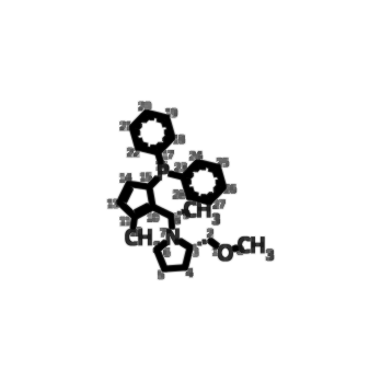 COC[C@@H]1CCCN1[C@@H](C)C1=C(C)C=CC1P(c1ccccc1)c1ccccc1